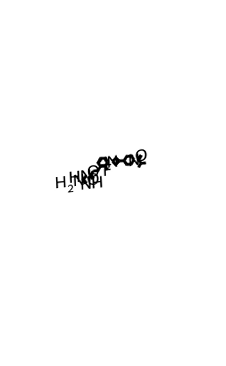 CC(C)C(=O)N1CCC(C2CN(c3cccc(COC(=O)NC(=N)N)c3F)C2)CC1